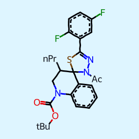 CCCC1CN(C(=O)OC(C)(C)C)c2ccccc2C12SC(c1cc(F)ccc1F)=NN2C(C)=O